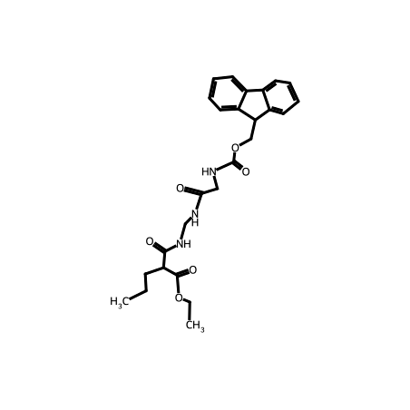 CCCC(C(=O)NCNC(=O)CNC(=O)OCC1c2ccccc2-c2ccccc21)C(=O)OCC